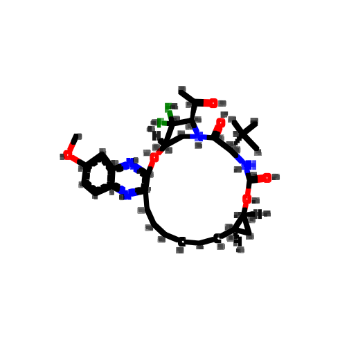 COc1ccc2nc3c(nc2c1)O[C@H]1CN(C(=O)[C@H](C(C)(C)C)NC(=O)O[C@@H]2C[C@H]2CCCCCC3)[C@H](C(C)=O)C1(F)F